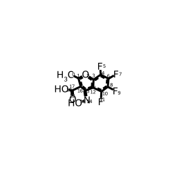 Cc1oc2c(F)c(F)c(F)c(F)c2c(=NO)c1C(=O)O